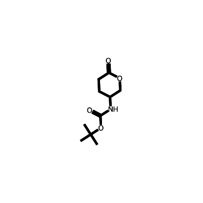 CC(C)(C)OC(=O)NC1CCC(=O)OC1